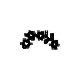 Cc1cnc(-c2ccc(NC(=O)Nc3ccccn3)cc2)nc1N1CCOCC1